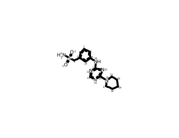 NS(=O)(=O)Cc1cccc(Nc2ncnc(N3CCCCC3)n2)c1